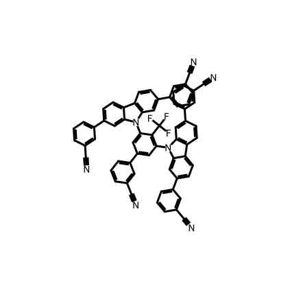 N#Cc1cccc(-c2cc(-n3c4cc(-c5cccc(C#N)c5)ccc4c4ccc(-c5cccc(C#N)c5)cc43)c(C(F)(F)F)c(-n3c4cc(-c5cccc(C#N)c5)ccc4c4ccc(-c5cccc(C#N)c5)cc43)c2)c1